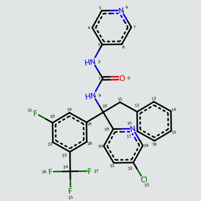 O=C(Nc1ccncc1)NC(Cc1ccccc1)(c1cc(F)cc(C(F)(F)F)c1)c1ccc(Cl)cn1